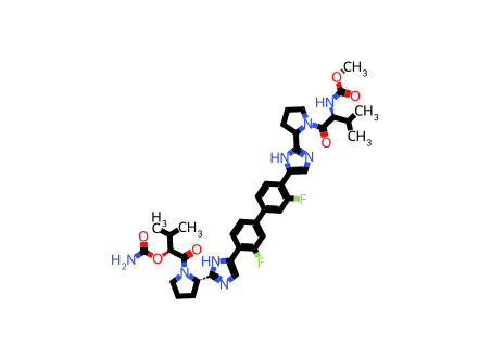 COC(=O)N[C@H](C(=O)N1CCCC1c1ncc(-c2ccc(-c3ccc(-c4cnc([C@@H]5CCCN5C(=O)[C@@H](OC(N)=O)C(C)C)[nH]4)c(F)c3)cc2F)[nH]1)C(C)C